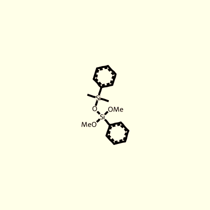 CO[Si](OC)(O[Si](C)(C)c1ccccc1)c1ccccc1